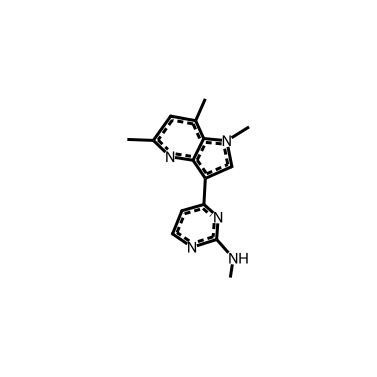 CNc1nccc(-c2cn(C)c3c(C)cc(C)nc23)n1